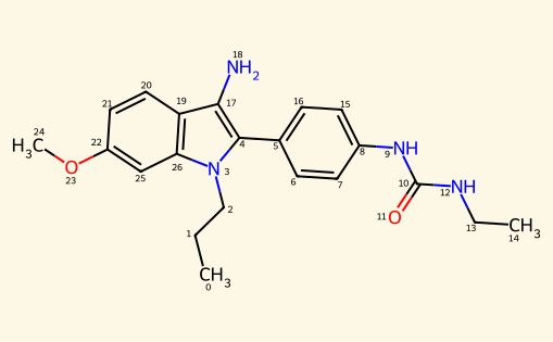 CCCn1c(-c2ccc(NC(=O)NCC)cc2)c(N)c2ccc(OC)cc21